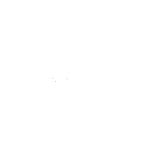 CC(C(=O)O)c1ccc(CN2CC=CC2)cc1